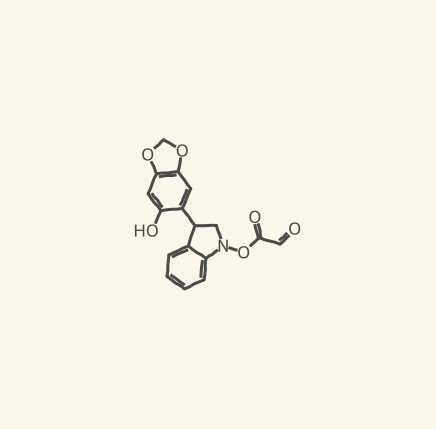 O=CC(=O)ON1CC(c2cc3c(cc2O)OCO3)c2ccccc21